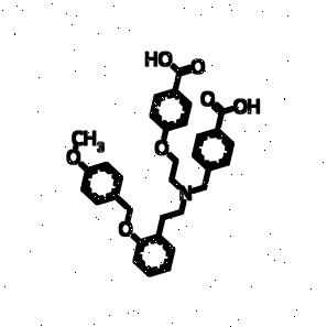 COc1ccc(COc2ccccc2CCN(CCOc2ccc(C(=O)O)cc2)Cc2ccc(C(=O)O)cc2)cc1